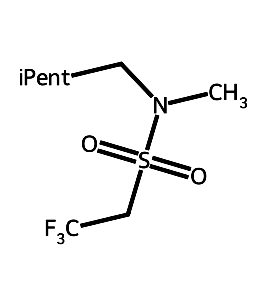 CCCC(C)CN(C)S(=O)(=O)CC(F)(F)F